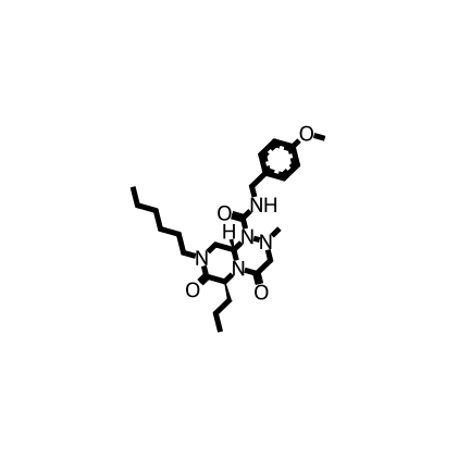 CCCCCCN1C[C@H]2N(C(=O)CN(C)N2C(=O)NCc2ccc(OC)cc2)[C@@H](CCC)C1=O